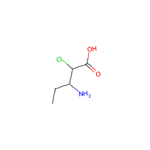 CCC(N)C(Cl)C(=O)O